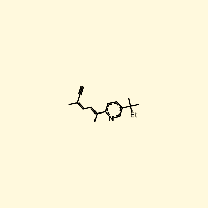 C#C/C(C)=C\C=C(/C)c1ccc(C(C)(C)CC)cn1